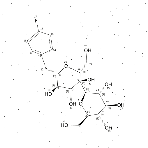 OC[C@H]1O[C@@H]([C@]2(O)[C@H](O)[C@@H](O)[C@H](Sc3ccc(F)cc3)O[C@@H]2CO)[C@H](O)[C@@H](O)[C@@H]1O